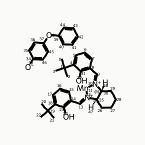 CC(C)(C)c1cccc(C=[N+]2[Mn][N+](=Cc3cccc(C(C)(C)C)c3O)[C@@H]3CCCC[C@H]32)c1O.[O-]c1ccc(Oc2ccccc2)cc1